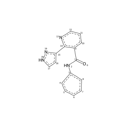 O=C(Nc1ccccc1)c1cccnc1-c1cc[nH]n1